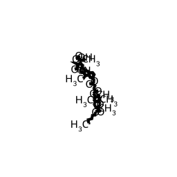 CCCCCCOC(=O)[C@@]1(C)CCc2c(C)c(OC(=O)CCC(=O)Oc3ccc4nc5c(c(CC)c4c3)Cn3c-5cc4c(c3=O)COC(=O)[C@]4(O)CC)c(C)c(C)c2O1